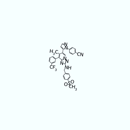 Cc1c(-c2ccnn2-c2ccc(C#N)cc2)cn2nc(NCc3ccc(S(C)(=O)=O)cc3)nc2c1-c1cccc(C(F)(F)F)c1